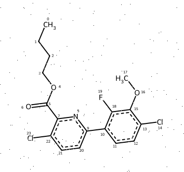 CCCCOC(=O)c1nc(-c2ccc(Cl)c(OC)c2F)ccc1Cl